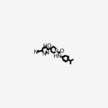 CC(C)c1ccc(NC(=O)N2CCC(O)(c3ccc(C#N)nn3)CC2)cc1